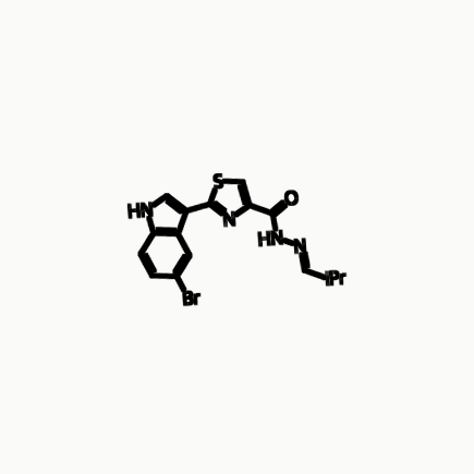 CC(C)C=NNC(=O)c1csc(-c2c[nH]c3ccc(Br)cc23)n1